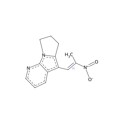 C/C(=C\c1c2n(c3ncccc13)CCC2)[N+](=O)[O-]